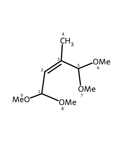 COC(C=C(C)C(OC)OC)OC